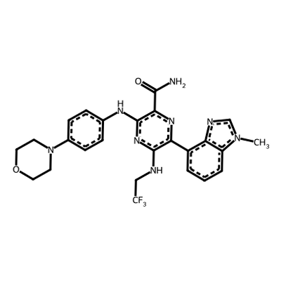 Cn1cnc2c(-c3nc(C(N)=O)c(Nc4ccc(N5CCOCC5)cc4)nc3NCC(F)(F)F)cccc21